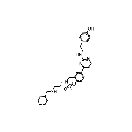 CS(=O)(=O)N(CCCNCc1ccccc1)Cc1cccc(-c2ccnc(NCCc3ccc(O)cc3)n2)c1